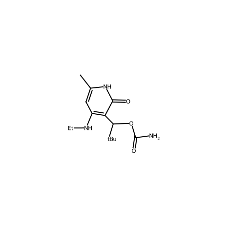 CCNc1cc(C)[nH]c(=O)c1C(OC(N)=O)C(C)(C)C